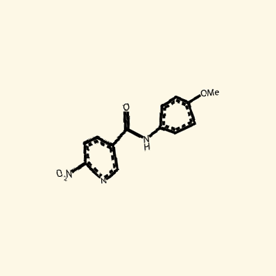 COc1ccc(NC(=O)c2ccc([N+](=O)[O-])nc2)cc1